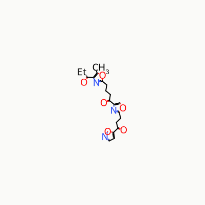 CCC(=O)c1nc(CCCC(=O)c2coc(CCC(=O)c3ccno3)n2)oc1C